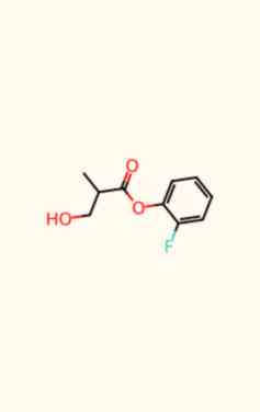 CC(CO)C(=O)Oc1ccccc1F